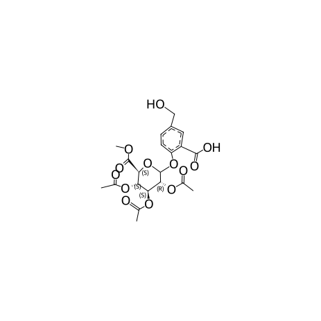 COC(=O)[C@H]1OC(Oc2ccc(CO)cc2C(=O)O)[C@H](OC(C)=O)[C@@H](OC(C)=O)[C@@H]1OC(C)=O